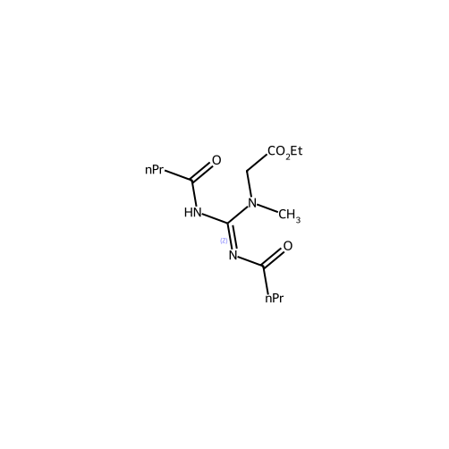 CCCC(=O)/N=C(/NC(=O)CCC)N(C)CC(=O)OCC